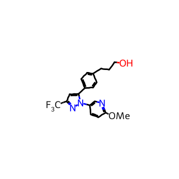 COc1ccc(-n2nc(C(F)(F)F)cc2-c2ccc(CCCO)cc2)cn1